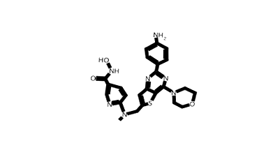 CN(Cc1cc2nc(-c3ccc(N)cc3)nc(N3CCOCC3)c2s1)c1ccc(C(=O)NO)cn1